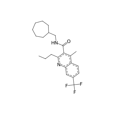 CCCc1nc2cc(C(F)(F)F)ccc2c(C)c1C(=O)NCC1CCCCCC1